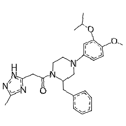 COc1ccc(N2CCN(C(=O)Cc3nc(C)n[nH]3)C(Cc3ccccc3)C2)cc1OC(C)C